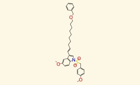 COc1ccc(CS(=O)(=O)n2cc(C=CCCCCCCCCOCc3ccccc3)c3cc(OC)ccc32)cc1